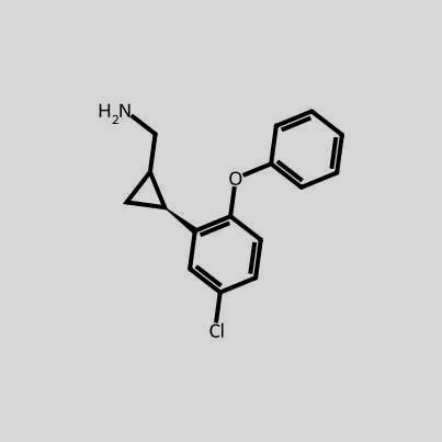 NCC1C[C@@H]1c1cc(Cl)ccc1Oc1ccccc1